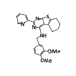 COc1ccc(CNc2nc(-c3ccccn3)nc3sc4c(c23)CCCC4)cc1OC